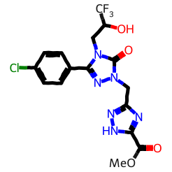 COC(=O)c1nc(Cn2nc(-c3ccc(Cl)cc3)n(CC(O)C(F)(F)F)c2=O)n[nH]1